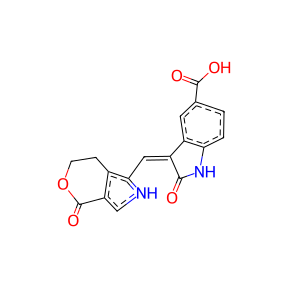 O=C1Nc2ccc(C(=O)O)cc2C1=Cc1[nH]cc2c1CCOC2=O